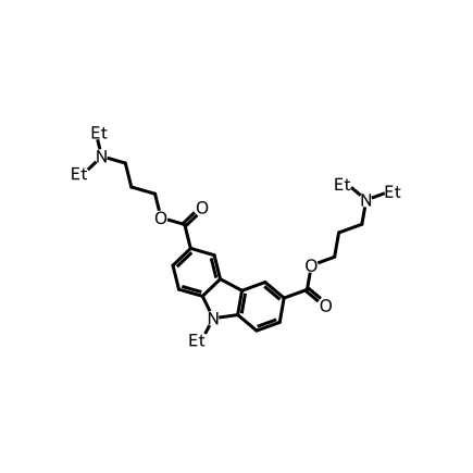 CCN(CC)CCCOC(=O)c1ccc2c(c1)c1cc(C(=O)OCCCN(CC)CC)ccc1n2CC